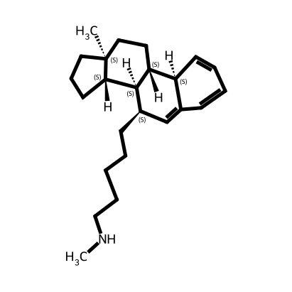 CNCCCCC[C@@H]1C=C2C=CC=C[C@@H]2[C@H]2CC[C@]3(C)CCC[C@H]3[C@@H]21